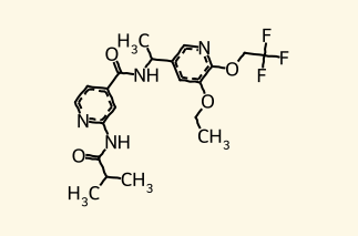 CCOc1cc(C(C)NC(=O)c2ccnc(NC(=O)C(C)C)c2)cnc1OCC(F)(F)F